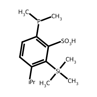 CC(C)c1ccc(P(C)C)c(S(=O)(=O)O)c1[Si](C)(C)C